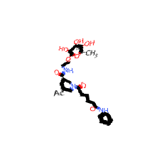 CC(=O)[C@@H]1C[C@H](C(=O)NCCO[C@@H]2O[C@@H](C)[C@@H](O)[C@@H](O)[C@@H]2O)CN(C(=O)CCCCC(=O)Nc2ccccc2)C1